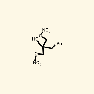 CC(C)(C)[CH]C(CO)(CO[N+](=O)[O-])CO[N+](=O)[O-]